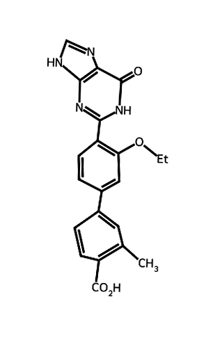 CCOc1cc(-c2ccc(C(=O)O)c(C)c2)ccc1-c1nc2[nH]cnc2c(=O)[nH]1